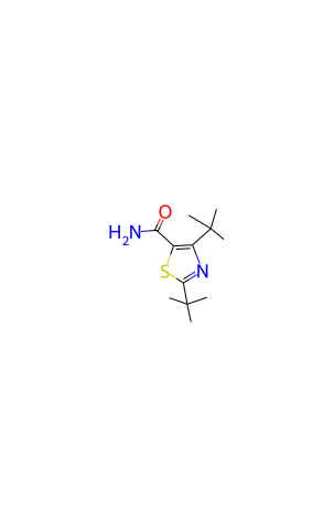 CC(C)(C)c1nc(C(C)(C)C)c(C(N)=O)s1